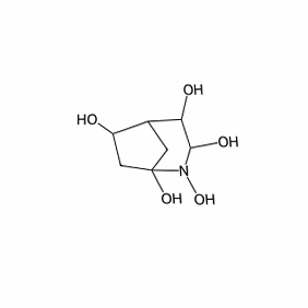 OC1CC2(O)CC1C(O)C(O)N2O